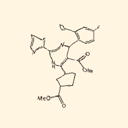 COC(=O)C1=C(C2CCC(C(=O)OC)C2)NC(c2nccs2)=NC1c1ccc(F)cc1Cl